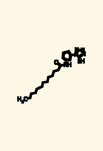 CCCCCCCCCCCCC(=O)Nc1cccc(-n2nnnc2S)c1